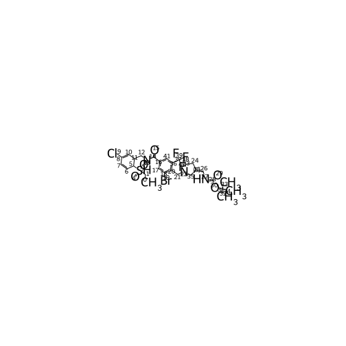 CCS(=O)(=O)C1C=CC(Cl)=CC1CNC(=O)c1cc(Br)c(CN2CC[C@@H](CNC(=O)OC(C)(C)C)C2)c(C(F)(F)F)c1